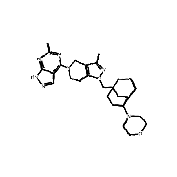 Cc1nc(N2CCc3c(c(C)nn3CC34CCCC(C3)C(N3CCOCC3)CC4)C2)c2cn[nH]c2n1